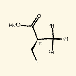 [2H]C([2H])([2H])[C@@H](CI)C(=O)OC